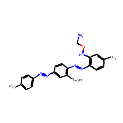 Cc1ccc(N=Nc2ccc(N=Nc3ccc(S(=O)(=O)O)cc3)cc2S(=O)(=O)O)c(NOCN)c1